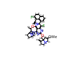 C#Cc1c(F)ccc2cccc(-c3nc4c5c(nc(OCC67C[C@H](OC)CN6CCC7=C)nc5c3F)N3CC5CCC(C3C(C)O4)N5C(=O)O)c12